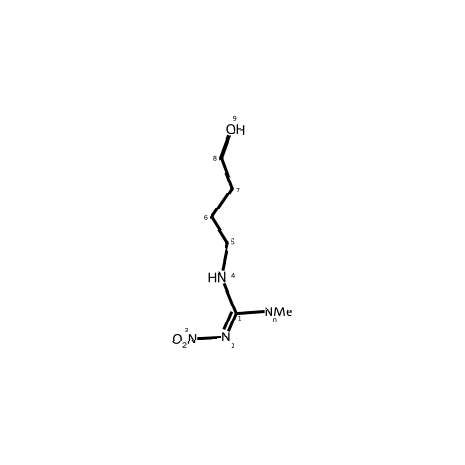 CN/C(=N/[N+](=O)[O-])NCCCCO